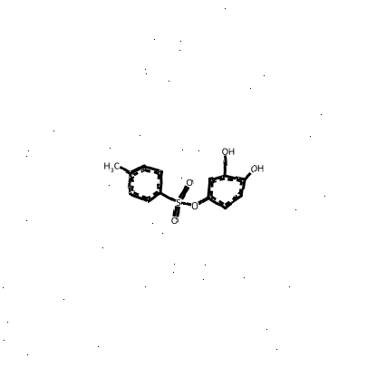 Cc1ccc(S(=O)(=O)Oc2ccc(O)c(O)c2)cc1